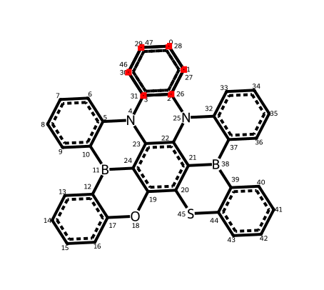 c1ccc(N2c3ccccc3B3c4ccccc4Oc4c5c6c(c2c43)N(c2ccccc2)c2ccccc2B6c2ccccc2S5)cc1